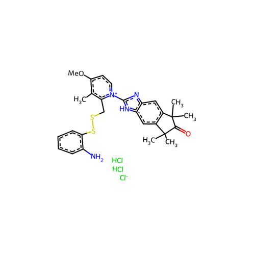 COc1cc[n+](-c2nc3cc4c(cc3[nH]2)C(C)(C)C(=O)C4(C)C)c(CSSc2ccccc2N)c1C.Cl.Cl.[Cl-]